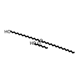 CCCCCCCCCCCCCCCCCCCCOC(=O)CCCCCCCCCCCCCCCCCO.CCCCCCCCO